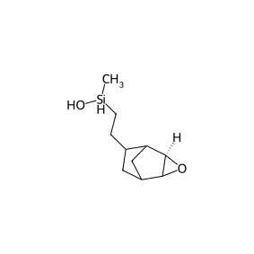 C[SiH](O)CCC1CC2CC1[C@H]1OC21